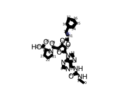 CCNC(=O)Nc1ncnc2c1ncn2C1OC(C(=O)N2CCC[C@@H]2C(=O)O)C2O[C@H](/C=C/c3ccccc3)OC21